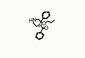 CCCOC1(c2ccccc2)CNCCN1C(=O)c1ccccc1